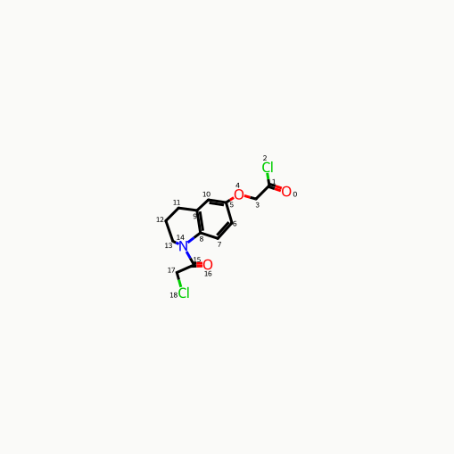 O=C(Cl)COc1ccc2c(c1)CCCN2C(=O)CCl